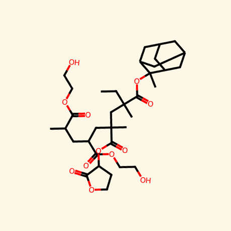 CCC(C)(CC(C)(CC(CC(C)C(=O)OCCO)C(=O)OCCO)C(=O)OC1CCOC1=O)C(=O)OC1(C)C2CC3CC(C2)CC1C3